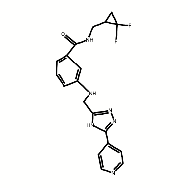 O=C(NCC1CC1(F)F)c1cccc(NCc2nnc(-c3ccncc3)[nH]2)c1